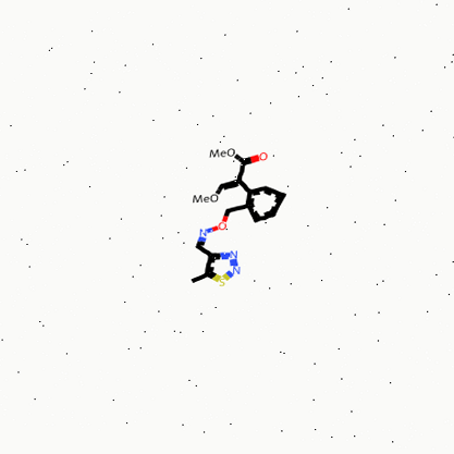 CO/C=C(/C(=O)OC)c1ccccc1CO/N=C\c1nnsc1C